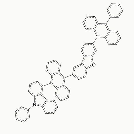 c1ccc(-c2c3ccccc3c(-c3ccc4c(c3)oc3ccc(-c5c6ccccc6c(-c6cccc7c6c6ccccc6n7-c6ccccc6)c6ccccc56)cc34)c3ccccc23)cc1